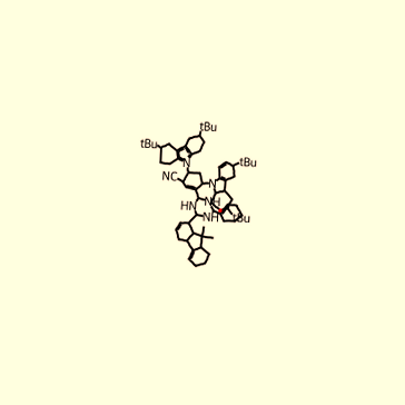 CC(C)(C)C1C=CC2=C(C1)C1CC(C(C)(C)C)CCC1N2C1CC(n2c3c(c4c2CCC(C(C)(C)C)C4)CC(C(C)(C)C)CC3)C(C#N)C=C1C1NC(C2=CCCCC2)NC(C2C=CCC3C4=CCCCC4C(C)(C)C32)N1